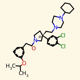 CC(C)Oc1cccc(CC(=O)N2CC[C@](CCN3CCN(C4CCCCC4)CC3)(c3ccc(Cl)c(Cl)c3)C2)c1